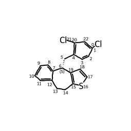 Clc1ccc(C[C@H]2c3ccccc3CCc3sccc32)c(Cl)c1